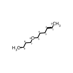 CC=CCCCOCCCC